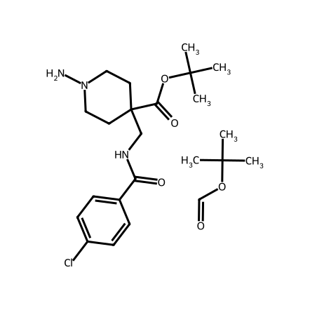 CC(C)(C)OC(=O)C1(CNC(=O)c2ccc(Cl)cc2)CCN(N)CC1.CC(C)(C)OC=O